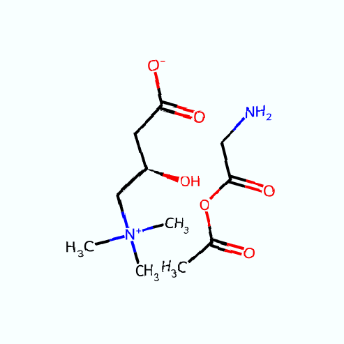 CC(=O)OC(=O)CN.C[N+](C)(C)C[C@H](O)CC(=O)[O-]